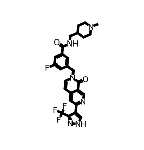 CN1CCC(CNC(=O)c2cc(F)cc(Cn3ccc4cc(-c5c[nH]nc5C(F)(F)F)ncc4c3=O)c2)CC1